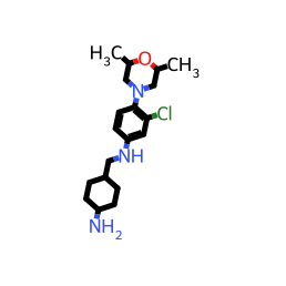 CC1CN(c2ccc(NCC3CCC(N)CC3)cc2Cl)CC(C)O1